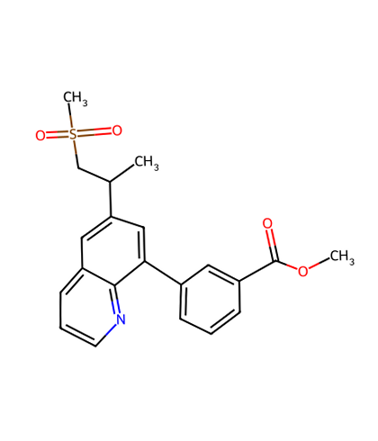 COC(=O)c1cccc(-c2cc(C(C)CS(C)(=O)=O)cc3cccnc23)c1